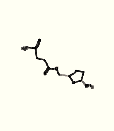 B[C@H]1CC[C@@H](COC(=O)CCC(C)=O)O1